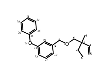 C=CC(C)(CC)COCc1cccc(Oc2ccccc2)c1